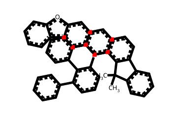 CC1(C)c2ccccc2-c2cccc(N(c3ccc4oc5ccccc5c4c3)c3cccc(-c4ccccc4)c3-c3ccccc3-c3ccccc3)c21